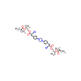 C=C(C)C(=O)OC(C)CCOC(=O)/C(C#N)=C/c1ccc(N2CCN(c3ccc(/C=C(\C#N)C(=O)OCCC(C)OC(=O)C(=C)C)cc3)CC2)cc1